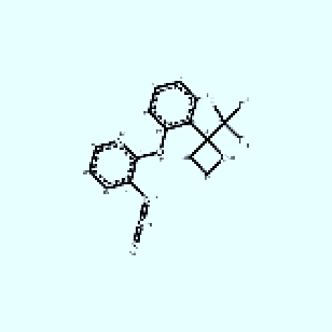 FC(F)(F)C1(c2ccccc2Oc2ncccc2N=C=S)CCO1